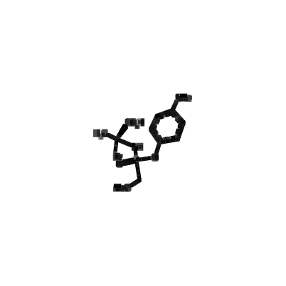 COCP(=O)(N[C@](C)(C(=O)O)C(C)C)Oc1ccc(SC)cc1